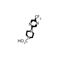 O=C(O)N1CCN(c2cnc(C(F)(F)F)cn2)CC1